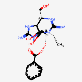 C[C@H]1[C@H](OC(=O)c2ccccc2)C(O)(O)C23NC(=N)NC2[C@H](CO)NC(=N)N13